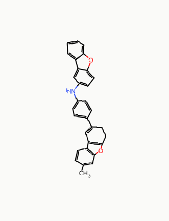 Cc1ccc2c3c(oc2c1)CCC(c1ccc(Nc2ccc4oc5ccccc5c4c2)cc1)=C3